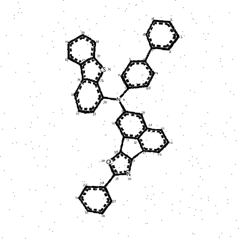 c1ccc(-c2ccc(N(c3cc4c5c(cccc5c3)-c3nc(-c5ccccc5)oc3-4)c3cccc4c3sc3ccccc34)cc2)cc1